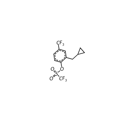 O=S(=O)(Oc1ccc(C(F)(F)F)cc1CC1CC1)C(F)(F)F